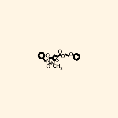 Cn1c(=O)n(Cc2ccccc2)c(=O)c2cc(C(=O)OCCOc3ccccc3)sc21